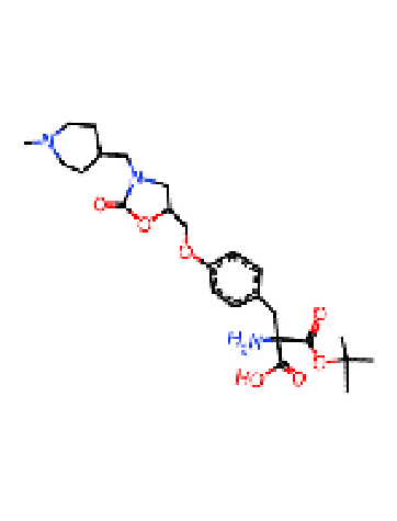 CN1CCC(CN2CC(COc3ccc(CC(N)(C(=O)O)C(=O)OC(C)(C)C)cc3)OC2=O)CC1